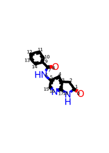 O=C1Cc2cc(NC(=O)c3ccccc3)cnc2N1